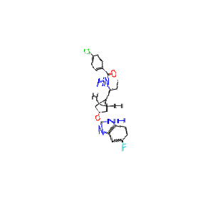 CCC(NC(=O)c1ccc(Cl)cc1)[C@H]1[C@@H]2C[C@@H](Oc3nc4cc(F)ccc4[nH]3)C[C@@H]21